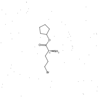 N[C@@H](CCCBr)C(=O)OC1CCCC1